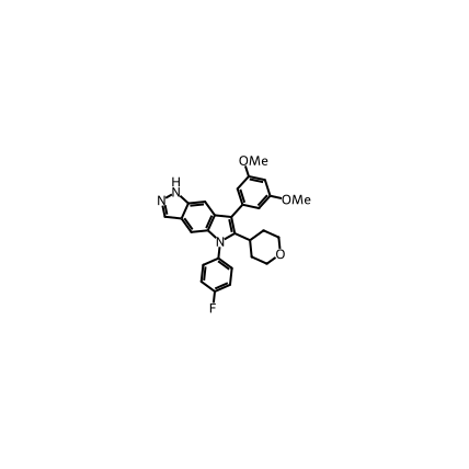 COc1cc(OC)cc(-c2c(C3CCOCC3)n(-c3ccc(F)cc3)c3cc4cn[nH]c4cc23)c1